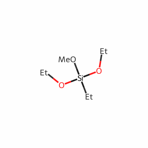 [CH2]C[Si](OC)(OCC)OCC